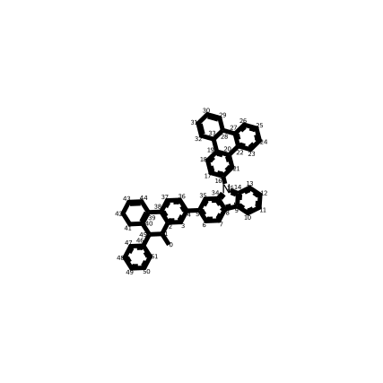 CC1c2cc(-c3ccc4c5ccccc5n(-c5ccc6c(c5)-c5ccccc5C5C=CC=CC65)c4c3)ccc2C2=C(CCC=C2)C1c1ccccc1